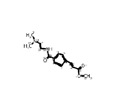 COC(=O)/C=C/c1ccc(C(=O)NCCN(C)C)cc1